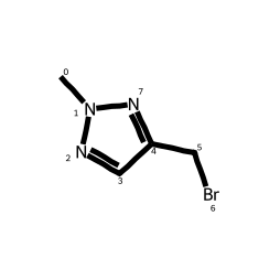 Cn1ncc(CBr)n1